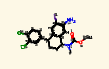 CN(C(=O)OC(C)(C)C)[C@H]1CCC(c2ccc(Cl)c(Cl)c2)c2cc(I)c(N)cc21